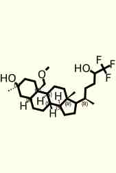 COC[C@]12CC[C@](C)(O)C[C@@H]1CC[C@@H]1[C@@H]2CC[C@]2(C)C([C@H](C)CCC(O)C(F)(F)F)CC[C@@H]12